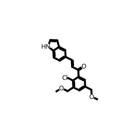 COCc1cc(COC)c(Cl)c(C(=O)/C=C/c2ccc3[nH]ccc3c2)c1